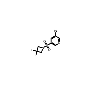 O=S(=O)(c1cncc(Br)c1)N1CC(F)(F)C1